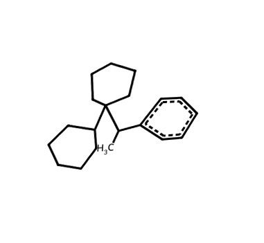 CC(c1ccccc1)C1(C2CCCCC2)CCCCC1